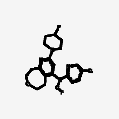 FON(c1ccc(Cl)cn1)c1cc(N2CCC(F)CC2)nc2c1CCOCC2